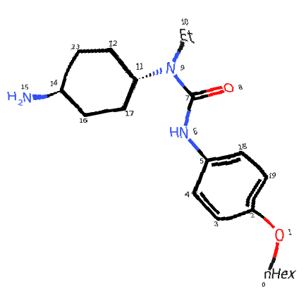 CCCCCCOc1ccc(NC(=O)N(CC)[C@H]2CC[C@H](N)CC2)cc1